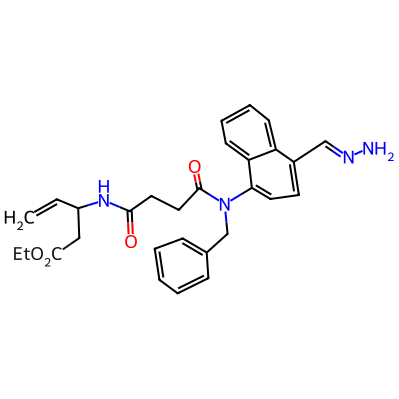 C=CC(CC(=O)OCC)NC(=O)CCC(=O)N(Cc1ccccc1)c1ccc(C=NN)c2ccccc12